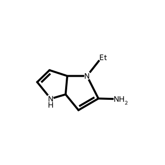 CCN1C(N)=CC2NC=CC21